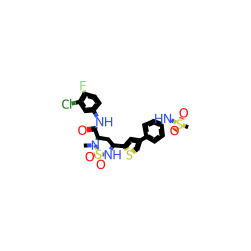 CN1C(C(=O)Nc2ccc(F)c(Cl)c2)CC(c2cc(-c3ccc(NS(C)(=O)=O)cc3)cs2)NS1(=O)=O